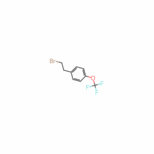 FC(F)(F)Oc1ccc(CCBr)cc1